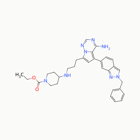 CCOC(=O)N1CCC(NCCCc2cc(-c3ccc4cn(Cc5ccccc5)nc4c3)c3c(N)ncnn23)CC1